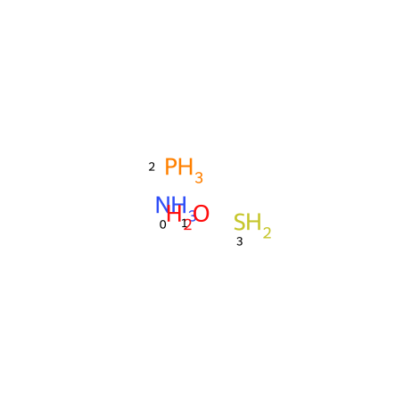 N.O.P.S